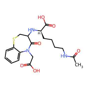 CC(=O)NCCCC[C@@H](NC1CSc2ccccc2N(CC(=O)O)C1=O)C(=O)O